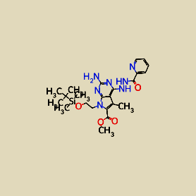 COC(=O)c1c(C)c2c(NNC(=O)c3ccccn3)nc(N)nc2n1CCO[Si](C)(C)C(C)(C)C